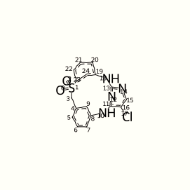 O=S1(=O)Cc2cccc(c2)Nc2nc(ncc2Cl)Nc2cccc1c2